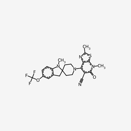 Cc1nc2c(N3CCC4(CC3)Cc3cc(OC(F)(F)F)ccc3N4C)c(C#N)c(=O)n(C)c2s1